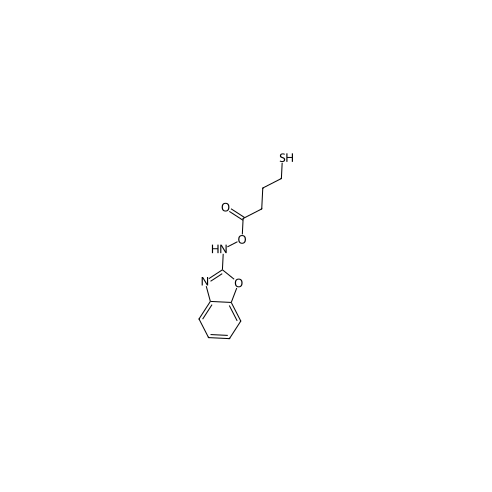 O=C(CCCS)ONc1nc2ccccc2o1